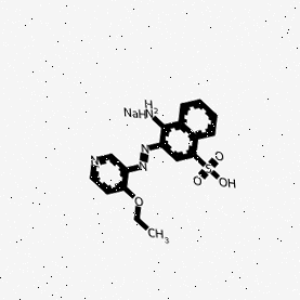 CCOc1ccncc1N=Nc1cc(S(=O)(=O)O)c2ccccc2c1N.[NaH]